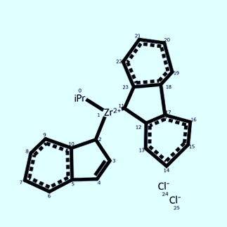 C[CH](C)[Zr+2]([CH]1C=Cc2ccccc21)[CH]1c2ccccc2-c2ccccc21.[Cl-].[Cl-]